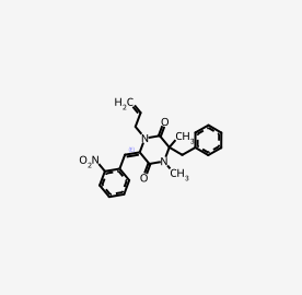 C=CCN1C(=O)C(C)(Cc2ccccc2)N(C)C(=O)/C1=C\c1ccccc1[N+](=O)[O-]